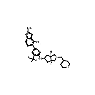 Cc1c(-c2cc(C(F)(F)F)c(N[C@H]3C[C@@H]4CN(CC5CCOCC5)C[C@@H]4C3)nn2)ccc2nn(C)cc12